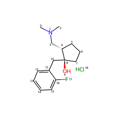 CN(C)C[C@@H]1CCC[C@]1(O)Cc1ccccc1F.Cl